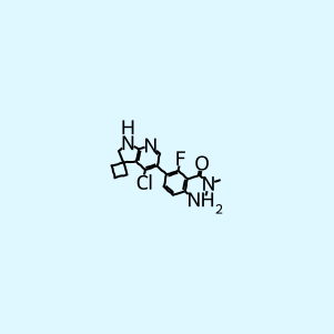 CN(C)C(=O)c1c(N)ccc(-c2cnc3c(c2Cl)C2(CCC2)CN3)c1F